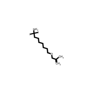 C=C(C)COCCCCCCCC([SiH3])(I)I